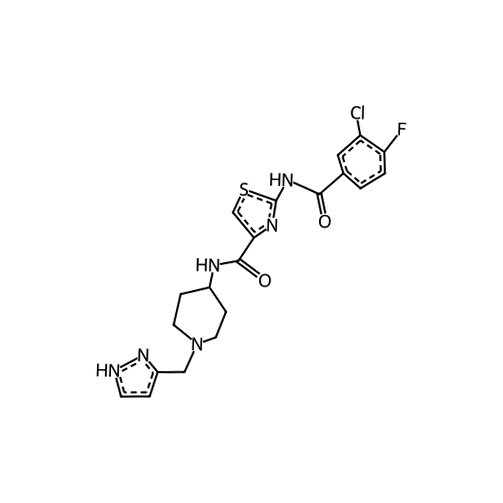 O=C(Nc1nc(C(=O)NC2CCN(Cc3cc[nH]n3)CC2)cs1)c1ccc(F)c(Cl)c1